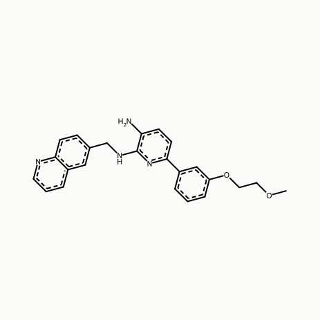 COCCOc1cccc(-c2ccc(N)c(NCc3ccc4ncccc4c3)n2)c1